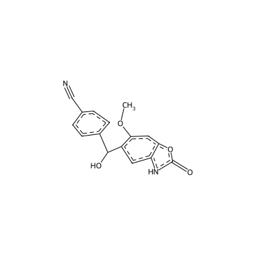 COc1cc2oc(=O)[nH]c2cc1C(O)c1ccc(C#N)cc1